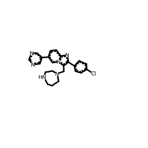 Clc1ccc(-c2nc3ccc(-c4cncnc4)cn3c2CN2CCCNCC2)cc1